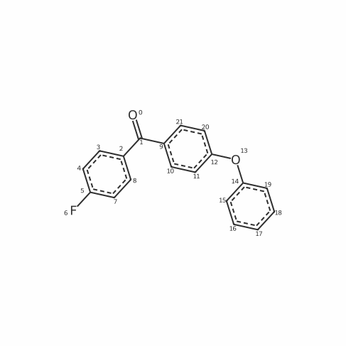 O=C(c1ccc(F)cc1)c1ccc(Oc2ccccc2)cc1